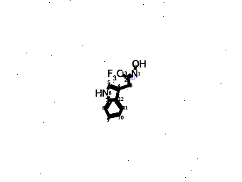 O/N=C(/Cc1c[nH]c2ccccc12)C(F)(F)F